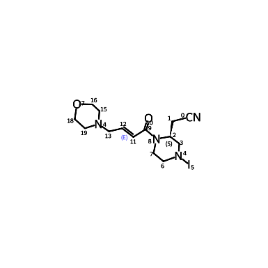 N#CC[C@H]1CN(I)CCN1C(=O)/C=C/CN1CCOCC1